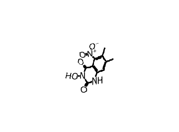 Cc1cc2[nH]c(=O)n(O)c(=O)c2c([N+](=O)[O-])c1C